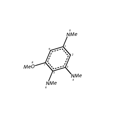 CNc1[c]c(NC)c(NC)c(OC)c1